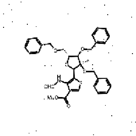 COC(=O)c1csc(C2O[C@H](COCc3ccccc3)[C@@H](OCc3ccccc3)[C@@]2(C)OCc2ccccc2)c1NC=O